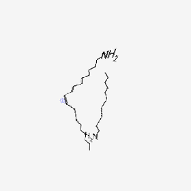 CCCCCCCC/C=C\CCCCCCCCN.CCCCCCCCCCN